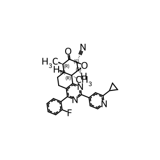 C[C@H]1C(=O)[C@@]2(C#N)O[C@H]2[C@@]2(C)c3nc(-c4ccnc(C5CC5)c4)nc(-c4ccccc4F)c3CC[C@H]12